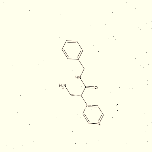 NC[C@H](C(=O)NCc1ccccc1)c1ccncc1